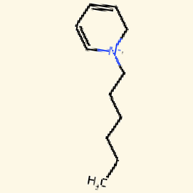 CCCCCC[N+]1C=CC=CC1